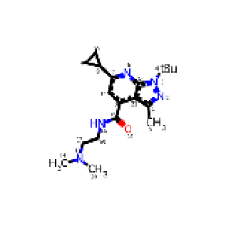 Cc1nn(C(C)(C)C)c2nc(C3CC3)cc(C(=O)NCCN(C)C)c12